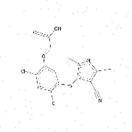 Cc1nn(C)c(Sc2cc(OCC(=O)O)c(Cl)cc2Cl)c1C#N